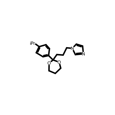 CC(C)c1ccc(C2(CCCn3ccnc3)OCCCO2)cc1